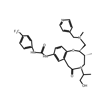 CC(CO)N1C[C@@H](C)[C@H](CN(C)Cc2ccncc2)Oc2ccc(NC(=O)Nc3ccc(C(F)(F)F)cc3)cc2CC1=O